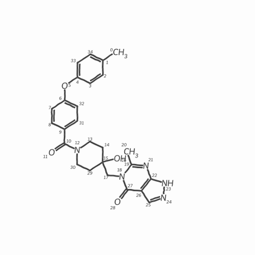 Cc1ccc(Oc2ccc(C(=O)N3CCC(O)(Cn4c(C)nc5[nH]ncc5c4=O)CC3)cc2)cc1